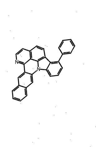 c1ccc(-c2cccc3c2c2ccc4ccnc5c6cc7ccccc7cc6n3c2c45)cc1